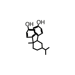 CC(C)C1CCC(C)(c2ccc(O)cc2)C(c2ccc(O)cc2)C1